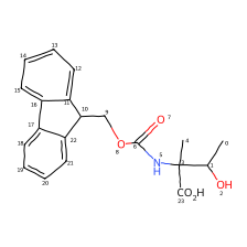 CC(O)C(C)(NC(=O)OCC1c2ccccc2-c2ccccc21)C(=O)O